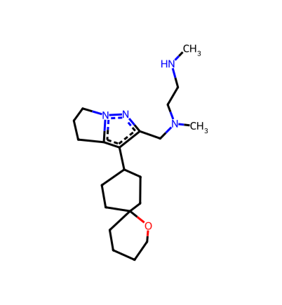 CNCCN(C)Cc1nn2c(c1C1CCC3(CCCCO3)CC1)CCC2